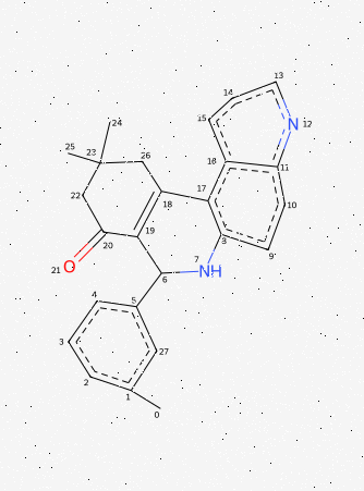 Cc1cccc(C2Nc3ccc4ncccc4c3C3=C2C(=O)CC(C)(C)C3)c1